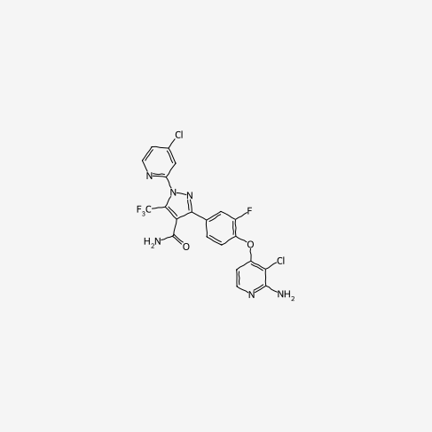 NC(=O)c1c(-c2ccc(Oc3ccnc(N)c3Cl)c(F)c2)nn(-c2cc(Cl)ccn2)c1C(F)(F)F